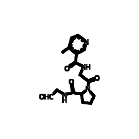 Cc1ccncc1C(=O)NCC(=O)N1CCCC1C(=O)NCC=O